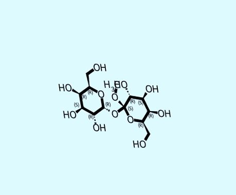 CO[C@]1(O[C@H]2O[C@H](CO)[C@H](O)[C@H](O)[C@H]2O)O[C@H](CO)[C@H](O)[C@H](O)[C@H]1O